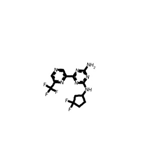 Nc1nc(NC2CCC(F)(F)C2)nc(-c2cncc(C(F)(F)F)n2)n1